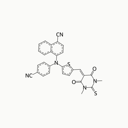 CN1C(=O)C(=Cc2ccc(N(c3ccc(C#N)cc3)c3ccc(C#N)c4ccccc34)s2)C(=O)N(C)C1=S